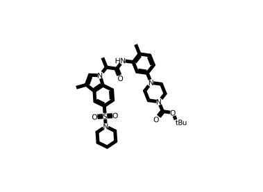 Cc1ccc(N2CCN(C(=O)OC(C)(C)C)CC2)cc1NC(=O)C(C)n1cc(C)c2cc(S(=O)(=O)N3CCCCC3)ccc21